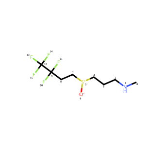 CNCCC[S+]([O-])CCC(F)(F)C(F)(F)F